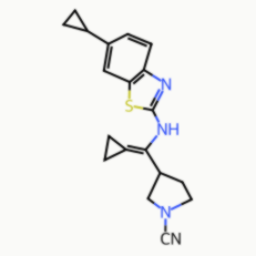 N#CN1CCC(C(Nc2nc3ccc(C4CC4)cc3s2)=C2CC2)C1